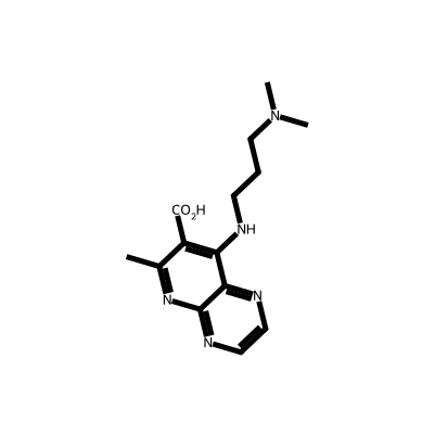 Cc1nc2nccnc2c(NCCCN(C)C)c1C(=O)O